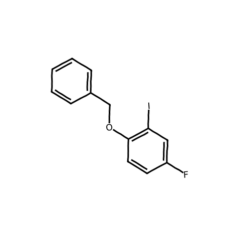 Fc1ccc(OCc2ccccc2)c(I)c1